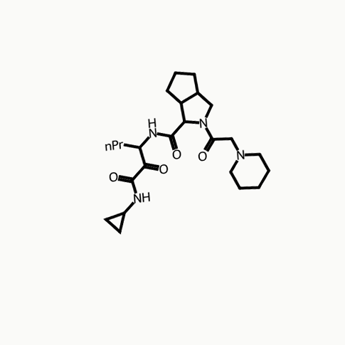 CCCC(NC(=O)C1C2CCCC2CN1C(=O)CN1CCCCC1)C(=O)C(=O)NC1CC1